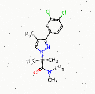 Cc1cn(C(C)(C)C(=O)N(C)C)nc1-c1ccc(Cl)c(Cl)c1